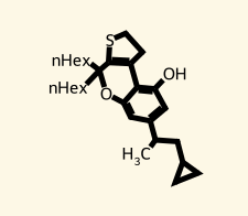 CCCCCCC1(CCCCCC)Oc2cc(C(C)CC3CC3)cc(O)c2C2=C1SCC2